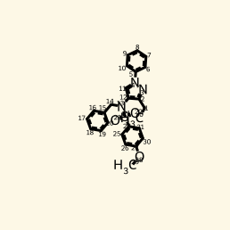 CCc1nn(-c2ccccc2)cc1N(Cc1ccccc1)S(=O)(=O)c1ccc(OC)cc1